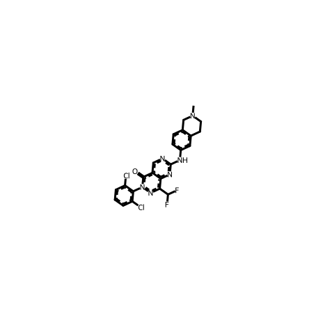 CN1CCc2cc(Nc3ncc4c(=O)n(-c5c(Cl)cccc5Cl)nc(C(F)F)c4n3)ccc2C1